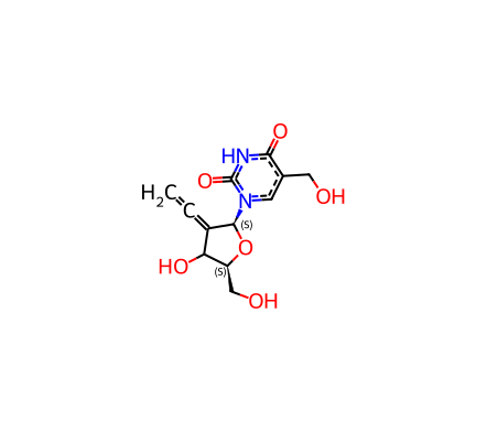 C=C=C1C(O)[C@H](CO)O[C@@H]1n1cc(CO)c(=O)[nH]c1=O